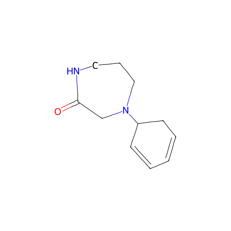 O=C1CN(C2C=CC=CC2)CCCN1